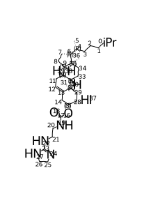 CC(C)CCC[C@@H](C)[C@H]1CC[C@H]2[C@@H]3CC=C4C[C@@H](OC(=O)NCCNC5=NCCN5)CC[C@]4(C)[C@H]3CC[C@]12C.I